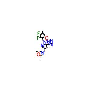 Cc1ccc(Cn2c(=O)n3ncnc3c3cc(CN4CC(C)OC(C)C4)cnc32)c(F)c1F